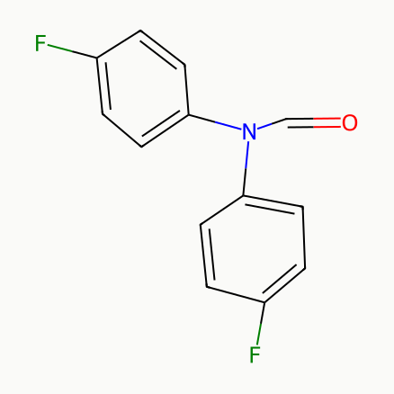 O=CN(c1ccc(F)cc1)c1ccc(F)cc1